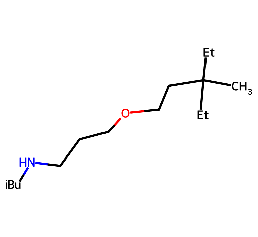 CCC(C)NCCCOCCC(C)(CC)CC